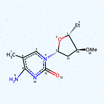 CC[C@H]1O[C@@H](n2cc(C)c(N)nc2=O)C[C@@H]1OC